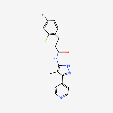 Cc1c(-c2ccncc2)n[nH]c1NC(=O)CCc1ccc(Cl)cc1F